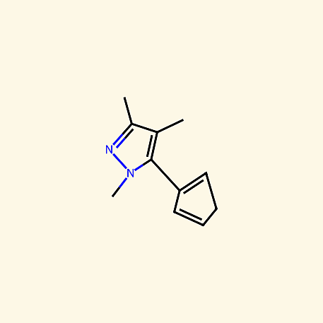 Cc1nn(C)c(C2=CCC=C2)c1C